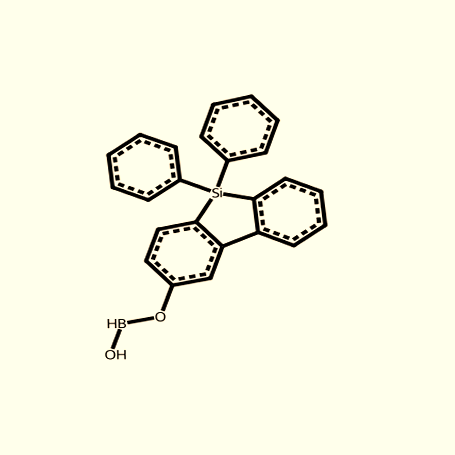 OBOc1ccc2c(c1)-c1ccccc1[Si]2(c1ccccc1)c1ccccc1